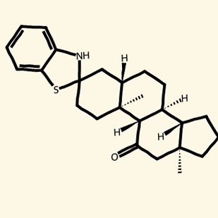 C[C@@]12CCC[C@H]1[C@@H]1CC[C@H]3CC4(CC[C@]3(C)[C@H]1C(=O)C2)Nc1ccccc1S4